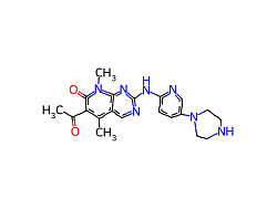 CC(=O)c1c(C)c2cnc(Nc3ccc(N4CCNCC4)cn3)nc2n(C)c1=O